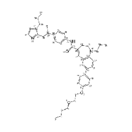 CCCCOCCOc1ccc(-c2ccc3c(c2)C=C(C(=O)Nc2ccc(N(C)Cc4nccn4CCC)cc2)CCN3CCC)cc1